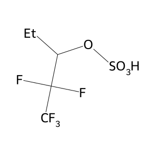 CCC(OS(=O)(=O)O)C(F)(F)C(F)(F)F